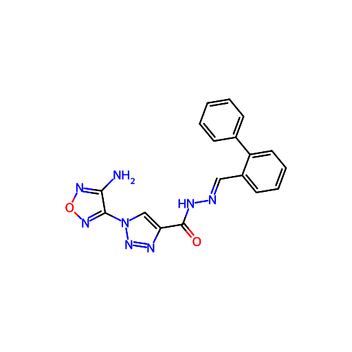 Nc1nonc1-n1cc(C(=O)NN=Cc2ccccc2-c2ccccc2)nn1